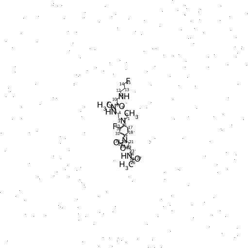 CCN(CCNN(C)C(=O)CNCCCF)c1ccc(N2C[C@H](CNC(C)=O)OC2=O)cc1F